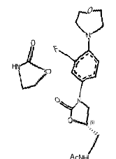 CC(=O)NC[C@H]1CN(c2ccc(N3CCOCC3)c(F)c2)C(=O)O1.O=C1NCCO1